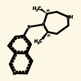 C[C@@H]1CCNC[C@@H](C)N1Sc1ccc2cnccc2c1